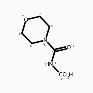 O=C(O)NC(=O)N1CCOCC1